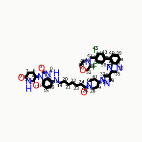 Cn1c(=O)n(C2CCC(=O)NC2=O)c2cccc(NCCCCCCC(=O)N3CCC(n4cc(-c5cnc6cccc(-c7cc(F)c(CN8CCOCC8)c(F)c7)c6n5)cn4)CC3)c21